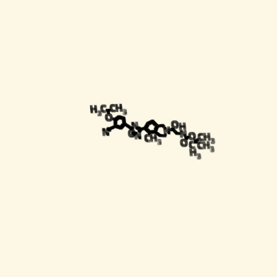 Cc1c(-c2noc(-c3ccc(OC(C)C)c(C#N)c3)n2)ccc2c1CCN(C(=O)CNC(=O)OC(C)(C)C)C2